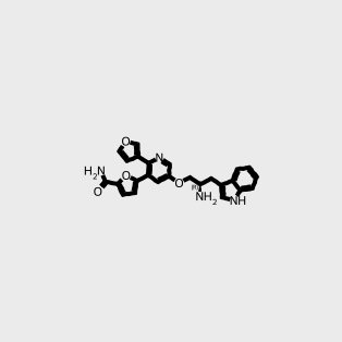 NC(=O)c1ccc(-c2cc(OC[C@H](N)Cc3c[nH]c4ccccc34)cnc2-c2ccoc2)o1